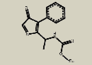 CC(NC(=O)OC(C)(C)C)C1=C(c2ccccc2)C(=O)C=N1